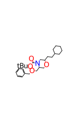 CC(C)(C)OC(=O)N1CC(CCC2CCCCC2)OCC1COCc1ccccc1